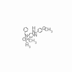 COc1ccc(-c2nc3cc4c(cc3[nH]2)N(Cc2ccccc2)C(=O)C4(C)C)cc1